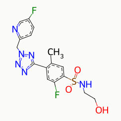 Cc1cc(S(=O)(=O)NCCO)c(F)cc1-c1nnn(Cc2ccc(F)cn2)n1